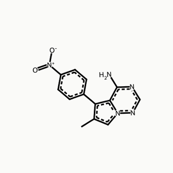 Cc1cn2ncnc(N)c2c1-c1ccc([N+](=O)[O-])cc1